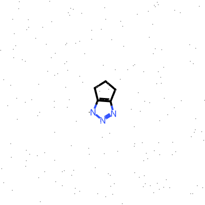 C1CC2=C(C1)N=N[N]2